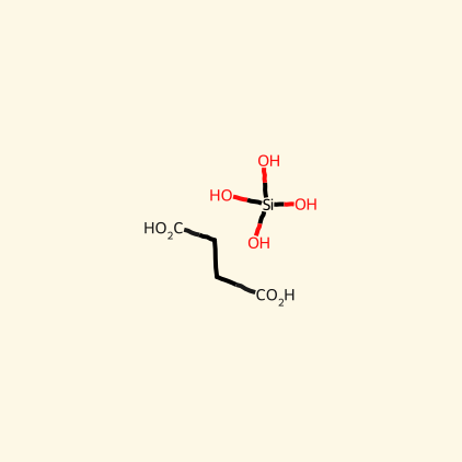 O=C(O)CCC(=O)O.O[Si](O)(O)O